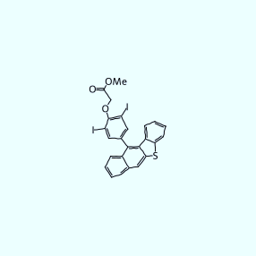 COC(=O)COc1c(I)cc(-c2c3ccccc3cc3sc4ccccc4c23)cc1I